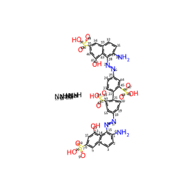 Nc1ccc2cc(S(=O)(=O)O)cc(O)c2c1/N=N/c1ccc(-c2ccc(/N=N/c3c(N)ccc4cc(S(=O)(=O)O)cc(O)c34)cc2S(=O)(=O)O)c(S(=O)(=O)O)c1.[NaH].[NaH].[NaH].[NaH]